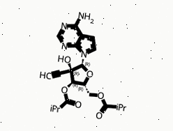 C#C[C@@]1(O)[C@H](OC(=O)C(C)C)[C@@H](COC(=O)C(C)C)O[C@H]1n1ccc2c(N)ncnc21